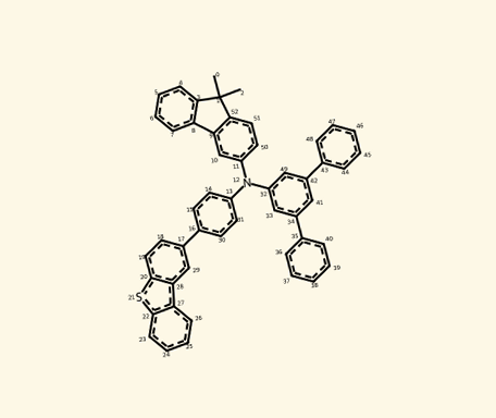 CC1(C)c2ccccc2-c2cc(N(c3ccc(-c4ccc5sc6ccccc6c5c4)cc3)c3cc(-c4ccccc4)cc(-c4ccccc4)c3)ccc21